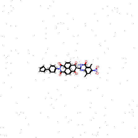 Cc1cc([N+](=O)[O-])c(C)c2c(=O)[nH]c(C3C(=O)c4ccc5c6c(ccc(c46)C3=O)C(=O)N(c3ccc(C4=CCC=C4)cc3)C5=O)nc12